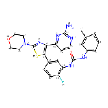 Cc1cccc(NC(=O)Nc2cc(-c3sc(N4CCOCC4)nc3-c3ccnc(N)n3)ccc2F)c1